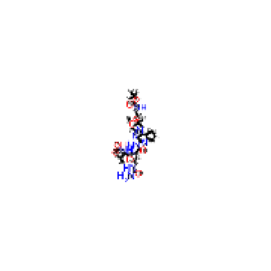 CCOCc1nc2c(NC(=O)[C@H](CCCNC(N)=O)NC(=O)[C@@H](NC(=O)O)C(C)C)nc3ccccc3c2n1CC(C)(C)OCCNC(=O)OC(C)(C)C